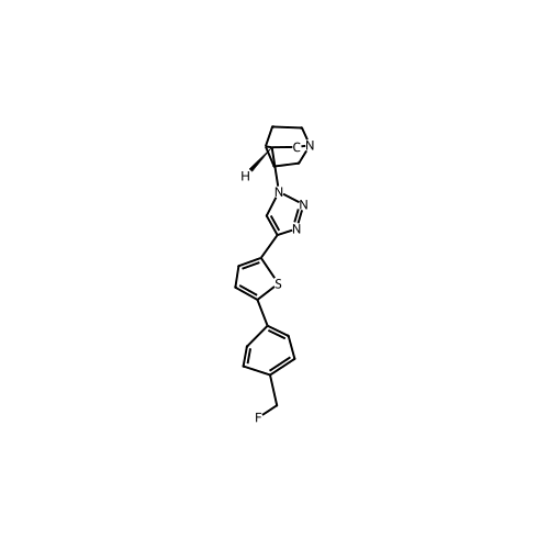 FCc1ccc(-c2ccc(-c3cn([C@H]4CN5CCC4CC5)nn3)s2)cc1